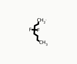 [CH2]CCC(F)(F)CCCC